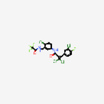 O=C(Nc1ccc(Cl)c(CNC(=O)C(F)(F)F)c1)C1C(c2ccc(F)c(Cl)c2)C1(Cl)Cl